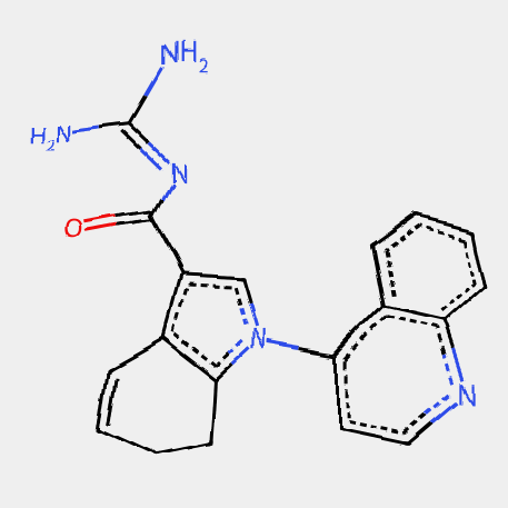 NC(N)=NC(=O)c1cn(-c2ccnc3ccccc23)c2c1C=CCC2